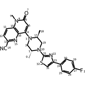 C[C@@H]1CN(c2cc(=O)n(C)c3ccc(C#N)nc23)[C@@H](C)CN1c1nc(-c2ccc(F)cc2)cs1